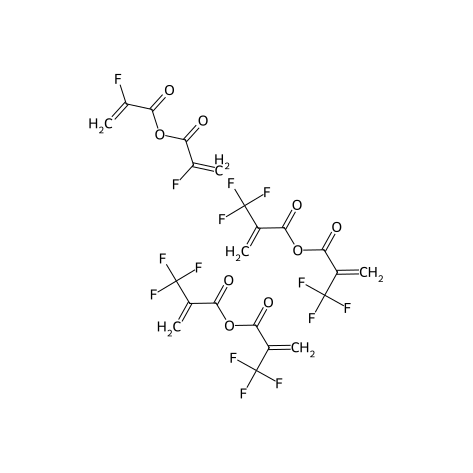 C=C(C(=O)OC(=O)C(=C)C(F)(F)F)C(F)(F)F.C=C(C(=O)OC(=O)C(=C)C(F)(F)F)C(F)(F)F.C=C(F)C(=O)OC(=O)C(=C)F